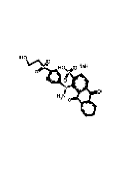 NN(c1ccc(S(=O)(=O)CCO)cc1)c1c(S(=O)(=O)O)ccc2c1C(=O)c1ccccc1C2=O.[NaH]